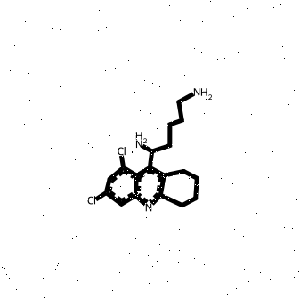 NCCCCC(N)c1c2c(nc3cc(Cl)cc(Cl)c13)CCCC2